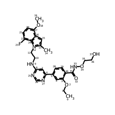 CCOc1cc(-c2cc(NCCn3c(C)cc4c(OC)ccc(F)c43)ncn2)ccc1C(=O)NOCCO